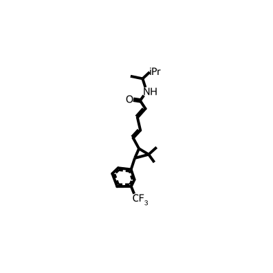 CC(C)C(C)NC(=O)/C=C/C=C/C1C(c2cccc(C(F)(F)F)c2)C1(C)C